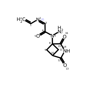 C=C/N=C\C(=O)N(N)C12CC(C1)C(=O)NC2=O